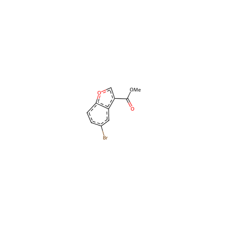 COC(=O)c1coc2ccc(Br)cc12